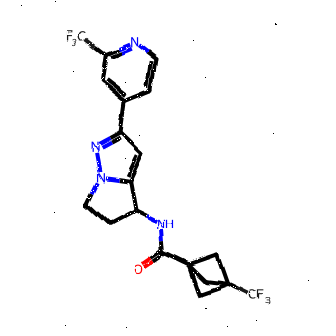 O=C(NC1CCn2nc(-c3ccnc(C(F)(F)F)c3)cc21)C12CC(C(F)(F)F)(C1)C2